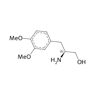 COc1ccc(C[C@H](N)CO)cc1OC